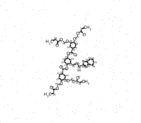 C=CC(=O)OCOc1ccc(C(=O)Oc2ccc(OC(=O)c3ccc(OCOC(=O)C=C)c(OCOC(=O)C=C)c3)c(/C=N/Nc3nc4ccccc4s3)c2)cc1OCOC(=O)C=C